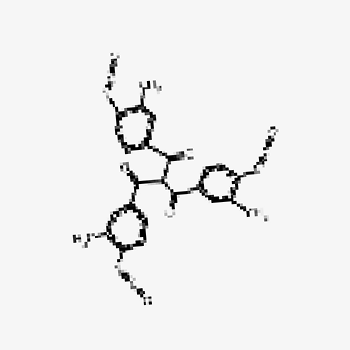 Cc1cc(C(=O)C(C(=O)c2ccc(N=C=O)c(C)c2)C(=O)c2ccc(N=C=O)c(C)c2)ccc1N=C=O